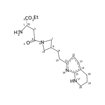 CCOC(=O)[C@@H](N)CC(=O)N1CC(CCc2ccc3c(n2)NCCC3)C1